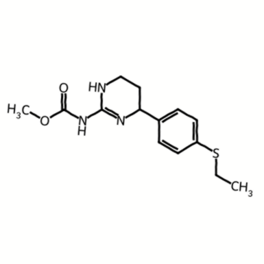 CCSc1ccc(C2CCNC(NC(=O)OC)=N2)cc1